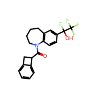 O=C(C1Cc2ccccc21)N1CCCCc2cc(C(O)(F)C(F)(F)F)ccc21